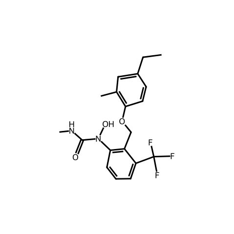 CCc1ccc(OCc2c(N(O)C(=O)NC)cccc2C(F)(F)F)c(C)c1